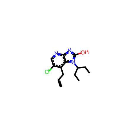 C=CCc1c(Cl)cnc2nc(O)n(C(CC)CC)c12